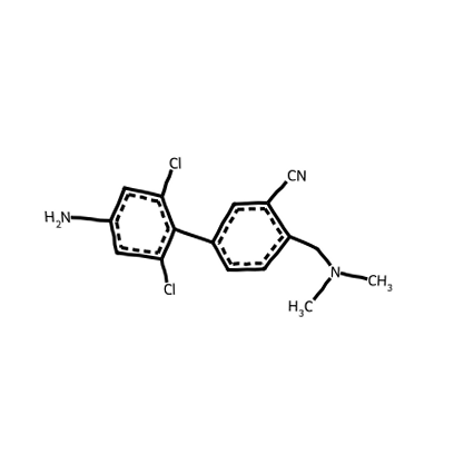 CN(C)Cc1ccc(-c2c(Cl)cc(N)cc2Cl)cc1C#N